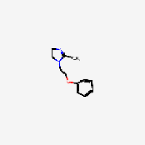 CC1=NCCN1CCOc1ccccc1